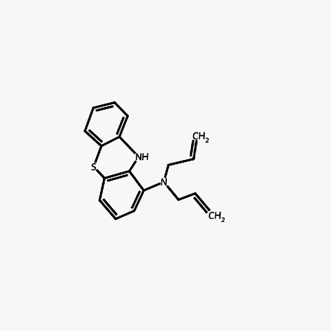 C=CCN(CC=C)c1cccc2c1Nc1ccccc1S2